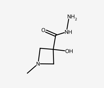 CN1CC(O)(C(=O)NN)C1